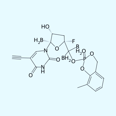 BC(B)(OP1(=O)OCc2cccc(C)c2O1)[C@]1(F)C[C@@H](O)[C@](B)(n2cc(C#C)c(=O)[nH]c2=O)O1